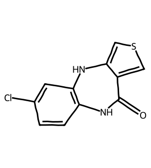 O=C1Nc2ccc(Cl)cc2Nc2cscc21